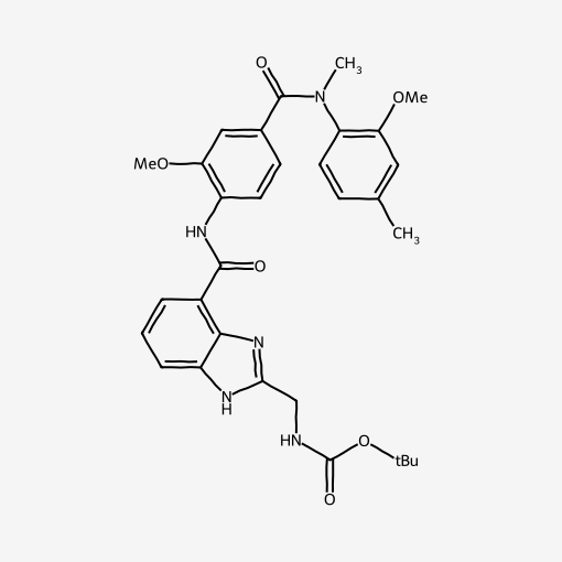 COc1cc(C(=O)N(C)c2ccc(C)cc2OC)ccc1NC(=O)c1cccc2[nH]c(CNC(=O)OC(C)(C)C)nc12